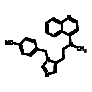 CN(CCc1cncn1Cc1ccc(C#N)cc1)c1ccnc2ccccc12